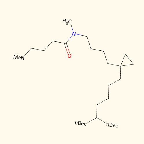 CCCCCCCCCCC(CCCCCCCCCC)CCCCC1(CCCCN(C)C(=O)CCCNC)CC1